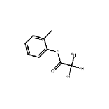 [2H]C([2H])([2H])C(=O)Oc1ccccc1C